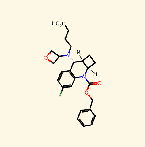 O=C(O)CCCN(C1COC1)[C@H]1c2ccc(F)cc2N(C(=O)OCc2ccccc2)[C@@H]2CC[C@@H]21